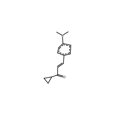 CN(C)c1ccc(C=CC(=O)C2CC2)cc1